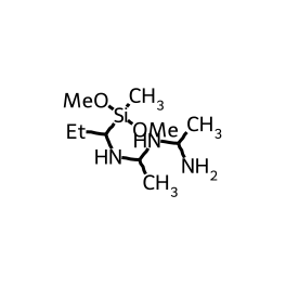 CCC(NC(C)NC(C)N)[Si](C)(OC)OC